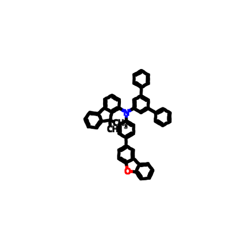 CC1(C)c2ccccc2-c2cccc(N(c3ccc(-c4ccc5oc6ccccc6c5c4)cc3)c3cc(-c4ccccc4)cc(-c4ccccc4)c3)c21